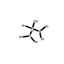 CC(C)N(C(C)C)[PH](O)(C(C)C)N(C(C)C)C(C)C